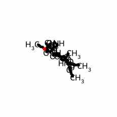 CCCCC[C@@H](C(=O)NCNC(=O)c1ccc(-c2ccc(C(=O)N[C@@H](CC(=O)OCCCC)C(=O)OCCCC)c(OCC)c2)o1)[C@@H](CC)N(C=O)OC(=O)C1CCNCC1